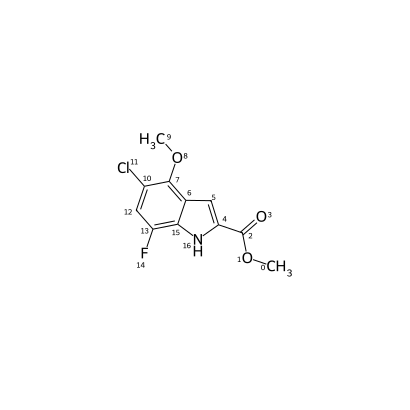 COC(=O)c1cc2c(OC)c(Cl)cc(F)c2[nH]1